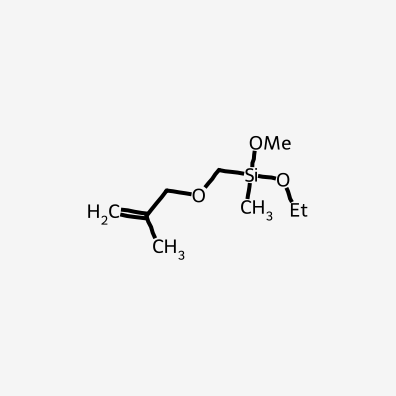 C=C(C)COC[Si](C)(OC)OCC